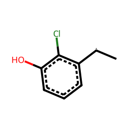 C[CH]c1cccc(O)c1Cl